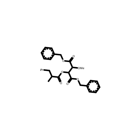 COC(C(=O)OCc1ccccc1)C(OC(=O)C(C)CC(C)C)C(=O)OCc1ccccc1